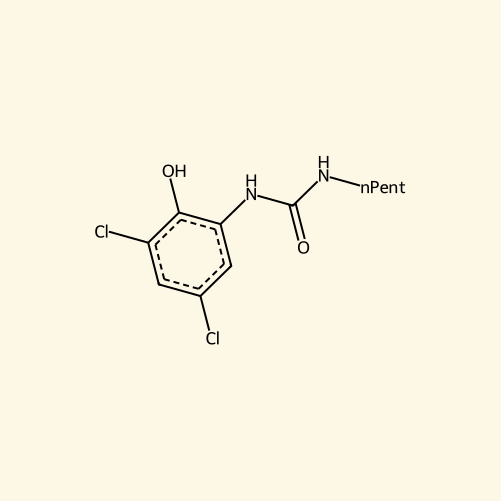 CCCCCNC(=O)Nc1cc(Cl)cc(Cl)c1O